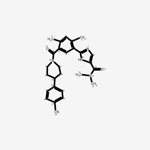 Cc1cc(C)c(-c2ncc(C(=O)N(C)C)[nH]2)cc1C(=O)N1CCC(c2ccc(C#N)cc2)CC1